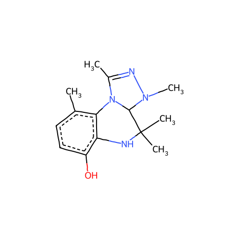 CC1=NN(C)C2N1c1c(C)ccc(O)c1NC2(C)C